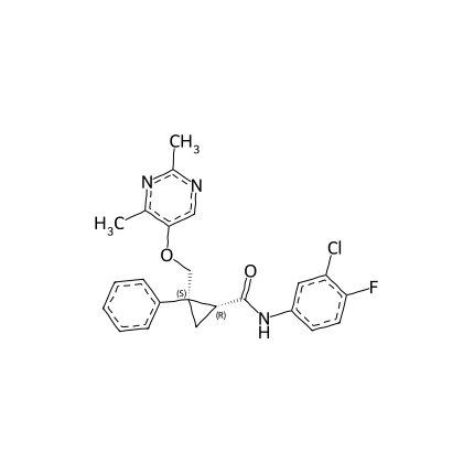 Cc1ncc(OC[C@@]2(c3ccccc3)C[C@H]2C(=O)Nc2ccc(F)c(Cl)c2)c(C)n1